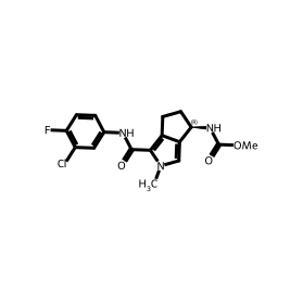 COC(=O)N[C@@H]1CCc2c1cn(C)c2C(=O)Nc1ccc(F)c(Cl)c1